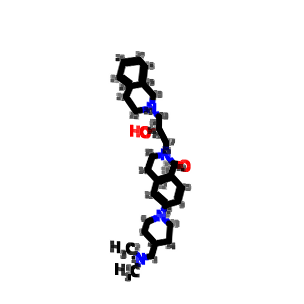 CN(C)CC1CCN(c2ccc3c(c2)CCN(C[C@H](O)CN2CCc4ccccc4C2)C3=O)CC1